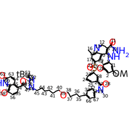 COc1cccc(Nc2c(C(N)=O)cnc3c(C)cc(S(=O)(=O)c4cccc(C(=O)N(C)c5ccc(CCCCOCCCCCCNC[C@H](O[Si](C)(C)C(C)(C)C)c6ccc(O)c7[nH]c(=O)ccc67)cc5)c4)cc23)c1